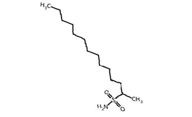 CCCCCCCCCCCCC(C)S(N)(=O)=O